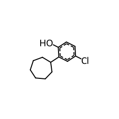 Oc1ccc(Cl)cc1C1CCCCCC1